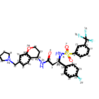 O=C(C[C@@H](NS(=O)(=O)c1cccc(C(F)(F)F)c1)c1ccc(F)cc1)N[C@@H]1CCOc2cc(CN3CCCC3)ccc21